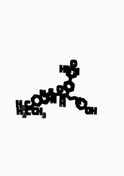 CC(C)(C)[C@H]1CCc2nc3sc(C(=O)N[C@H](CCN4CCC(O)CC4)c4ccc(-c5cnc(=O)[nH]c5)cc4)nc3cc2C1